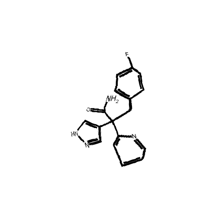 NC(=O)C(Cc1ccc(F)cc1)(c1cn[nH]c1)c1ccccn1